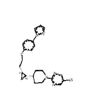 Clc1cnc(N2CCC([C@@H]3C[C@@H]3CCOc3ccc(-n4cccn4)cc3)CC2)nc1